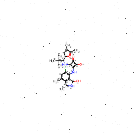 Cc1cc([C@H](Nc2c(Nc3c(F)cc(C)c4c3C(O)N[C@@H]4C)c(=O)c2=O)C(C)(C)C)oc1C